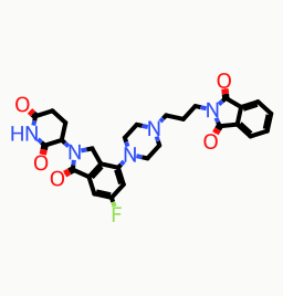 O=C1CCC(N2Cc3c(cc(F)cc3N3CCN(CCCN4C(=O)c5ccccc5C4=O)CC3)C2=O)C(=O)N1